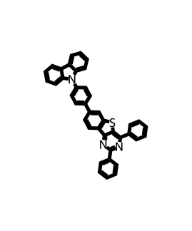 c1ccc(-c2nc(-c3ccccc3)c3sc4cc(-c5ccc(-n6c7ccccc7c7ccccc76)cc5)ccc4c3n2)cc1